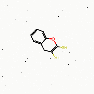 SC1=C(S)Oc2ccccc2C1